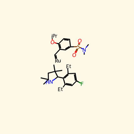 CC(C)Oc1ccc(S(=O)(=O)N(C)C)cc1[CH]=[Ru].CCc1cc(F)cc(CC)c1C1NC(C)(C)CC1(C)C